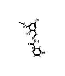 CCOc1cc(Br)cc(/C=N/NC(=O)c2cccc(Br)c2)c1O